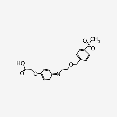 CS(=O)(=O)c1ccc(COCCN=C2C=CC(OCC(=O)O)=CC2)cc1